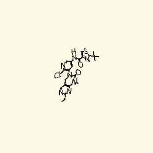 CCc1ncc2c(n1)N(C)C(=O)N(c1cc(NC(=O)c3csc(C(C)(C)C)n3)cnc1Cl)C2